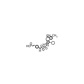 Cc1ccc2c(c1)N(C)CCn1c-2c(C2CCCCC2)c2sc(C(=O)NC3(C(=O)Nc4ccc(/C=C/C(=O)O)cc4)CCC3)cc21